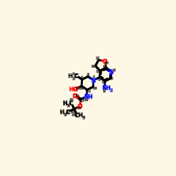 CC1CN(c2c(N)cnc3c2CCO3)CC(NC(=O)OC(C)(C)C)C1O